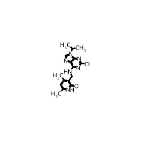 Cc1cc(C)c(CNc2nc(Cl)nc3c2ncn3C(C)C)c(=O)[nH]1